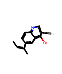 C/C=C(/C)c1ccc2ncc(C(C)(C)C)c(O)c2c1